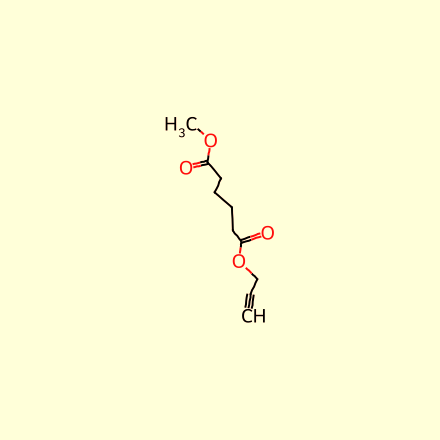 C#CCOC(=O)CCCCC(=O)OC